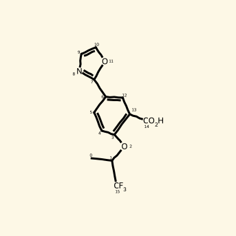 CC(Oc1ccc(-c2ncco2)cc1C(=O)O)C(F)(F)F